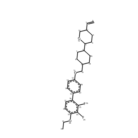 C=CC1CCC(C2CCC(COc3ccc(-c4ccc(OCC)c(F)c4F)cc3)CC2)OC1